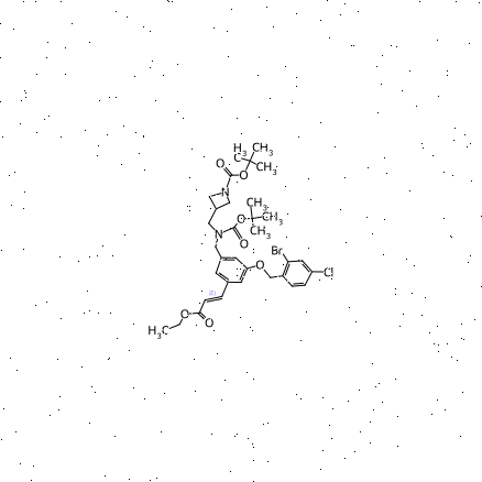 CCOC(=O)/C=C/c1cc(CN(CC2CN(C(=O)OC(C)(C)C)C2)C(=O)OC(C)(C)C)cc(OCc2ccc(Cl)cc2Br)c1